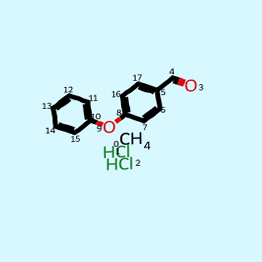 C.Cl.Cl.O=Cc1ccc(Oc2ccccc2)cc1